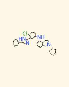 Clc1ccc(Nc2cccc3c2CCN(CC2CCCCC2)C3)cc1-c1ncc(-c2ccccc2)[nH]1